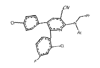 CC(=O)N(CC(C)C)c1nc(-c2ccc(F)cc2Cl)c(-c2ccc(Cl)cc2)cc1C#N